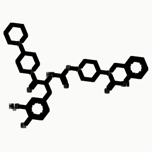 Cc1cc(CC(NC(=O)ON2CCC(N3Cc4ccccc4NC3=O)CC2)C(=O)N2CCC(N3CCCCC3)CC2)ccc1Cl